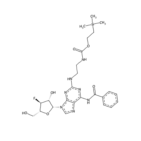 C[Si](C)(C)CCOC(=O)NCCNc1nc(NC(=O)c2ccccc2)c2ncn([C@@H]3O[C@H](CO)[C@@H](F)[C@@H]3O)c2n1